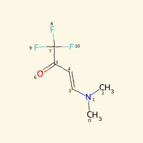 CN(C)C=CC(=O)C(F)(F)F